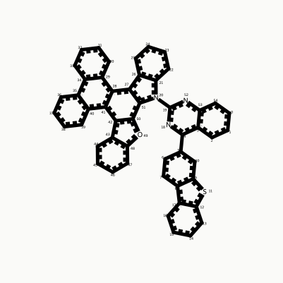 c1ccc2c(-c3ccc4c(c3)sc3ccccc34)nc(-n3c4ccccc4c4c5c6ccccc6c6ccccc6c5c5c6ccccc6oc5c43)nc2c1